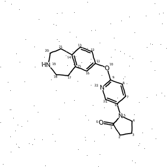 O=C1CCCN1c1ccc(Oc2ccc3c(c2)CCNCC3)nc1